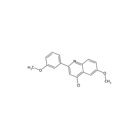 COc1cccc(-c2cc(Cl)c3cc(OC)ccc3n2)c1